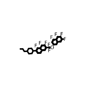 CCCC1CCC(c2ccc3cc(C(F)(F)Oc4cc(F)c5c(F)c(F)c(F)cc5c4)c(F)c(F)c3c2F)CC1